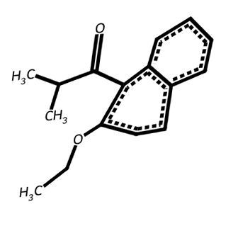 CCOc1ccc2ccccc2c1C(=O)C(C)C